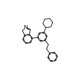 C1=NCc2cccc(-c3cc(CCc4ccccc4)cc(C4CCCCC4)c3)c21